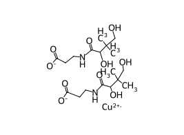 CC(C)(CO)C(O)C(=O)NCCC(=O)[O-].CC(C)(CO)C(O)C(=O)NCCC(=O)[O-].[Cu+2]